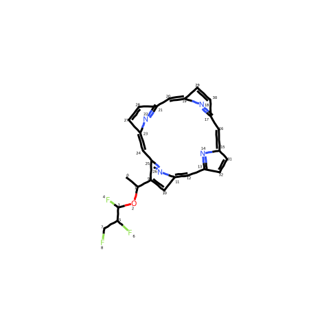 CC(OC(F)C(F)CF)C1=CC2=CC3=NC(=CC4=NC(=CC5=NC(=CC1=N2)C=C5)C=C4)C=C3